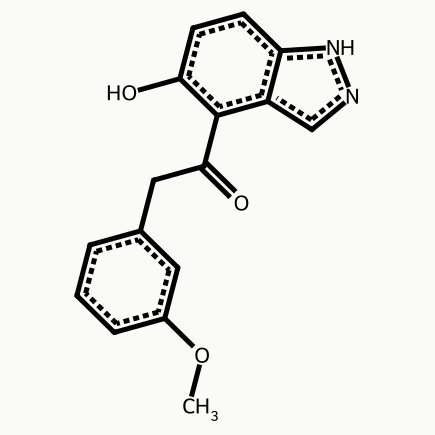 COc1cccc(CC(=O)c2c(O)ccc3[nH]ncc23)c1